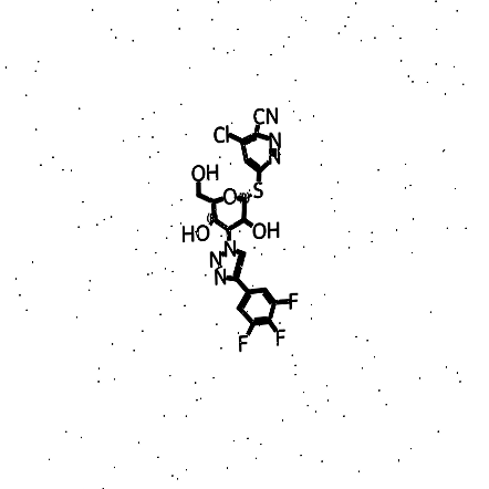 N#Cc1nnc(S[C@H]2OC(CO)[C@H](O)C(n3cc(-c4cc(F)c(F)c(F)c4)nn3)C2O)cc1Cl